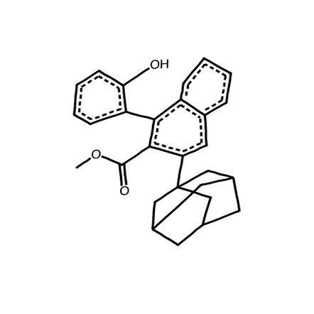 COC(=O)c1c(C23CC4CC(CC(C4)C2)C3)cc2ccccc2c1-c1ccccc1O